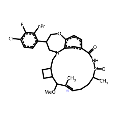 CCCc1c(C2COc3ccc4cc3N(C2)CC2CCC2C(OC)/C(C)=C/CCC(C)[S+]([O-])NC4=O)ccc(Cl)c1F